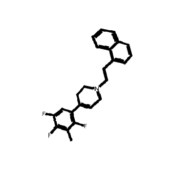 Cc1c(F)c(F)cc(C2=CCN(CCc3cccc4ccccc34)CC2)c1F